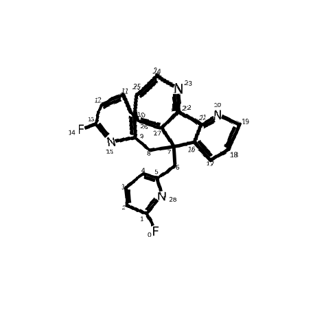 Fc1cccc(CC2(Cc3cccc(F)n3)c3cccnc3-c3ncccc32)n1